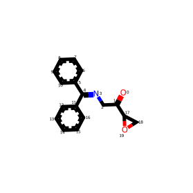 O=C(CN=C(c1ccccc1)c1ccccc1)C1CO1